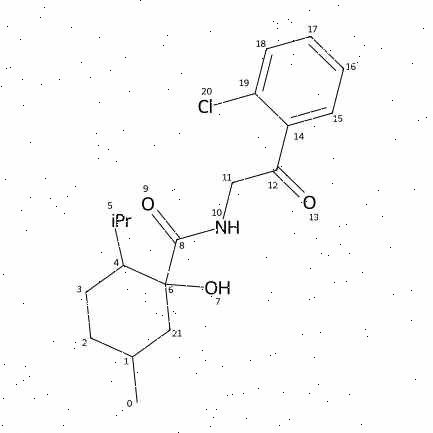 CC1CCC(C(C)C)C(O)(C(=O)NCC(=O)c2ccccc2Cl)C1